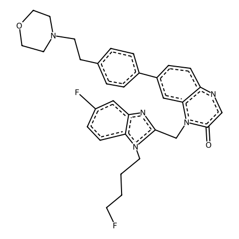 O=c1cnc2ccc(-c3ccc(CCN4CCOCC4)cc3)cc2n1Cc1nc2cc(F)ccc2n1CCCCF